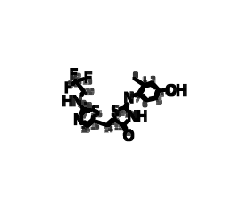 Cc1cc(O)ccc1N=C1NC(=O)C(=Cc2cnc(NCC(F)(F)F)s2)S1